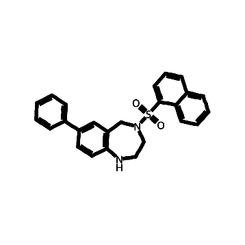 O=S(=O)(c1cccc2ccccc12)N1CCNc2ccc(-c3ccccc3)cc2C1